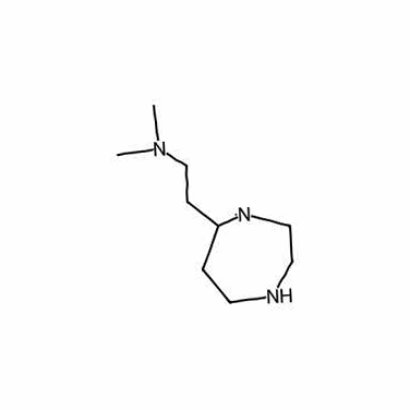 CN(C)CCC1CCNCC[N]1